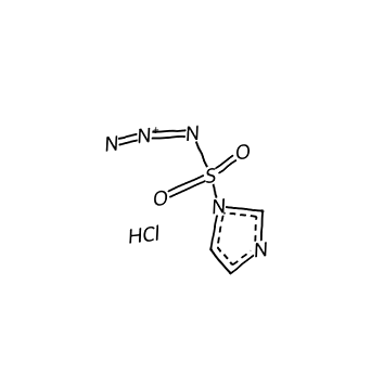 Cl.[N-]=[N+]=NS(=O)(=O)n1ccnc1